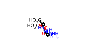 N=C(N)Nc1cccc(C(=O)NCC(=O)Nc2cccc(CCC(=O)O)c2OCC(=O)O)c1